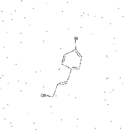 O=NC/C=C/c1ccc(Br)cc1